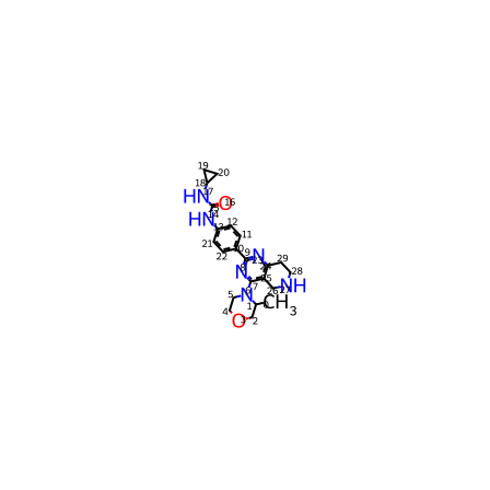 CC1COCCN1c1nc(-c2ccc(NC(=O)NC3CC3)cc2)nc2c1CNCC2